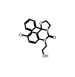 O=C1N(CCO)c2ccc(Cl)cc2C2(c3ccccc3)OCCN12